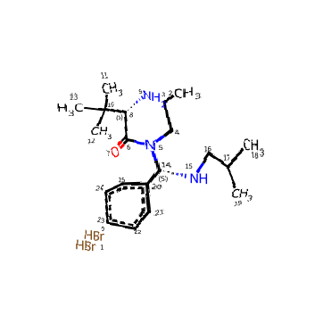 Br.Br.CCCN(C(=O)[C@@H](N)C(C)(C)C)[C@H](NCC(C)C)c1ccccc1